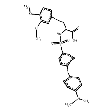 COc1ccc(CC(NS(=O)(=O)c2ccc(-c3ccc(N(C)C)cc3)cc2)C(=O)O)cc1OC